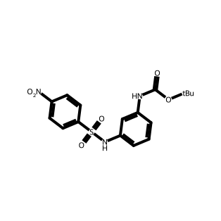 CC(C)(C)OC(=O)Nc1cccc(NS(=O)(=O)c2ccc([N+](=O)[O-])cc2)c1